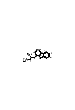 BrCC(Br)Cc1cccc2c1Cc1ccccc1-2